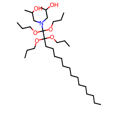 CCCCCCCCCCCCCCC(OCCC)(OCCC)C(OCCC)(OCCC)N(CC(C)O)CC(C)O